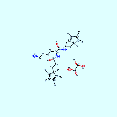 CC1=C(C)C(C)(CCNC(=O)[C@H](CCCCN)NC(=O)CCC2(C)C(C)=C(C)C(C)=C2C)C(C)=C1C.O=C(O)C(=O)O